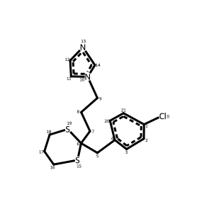 Clc1ccc(CC2(CCCn3ccnc3)SCCCS2)cc1